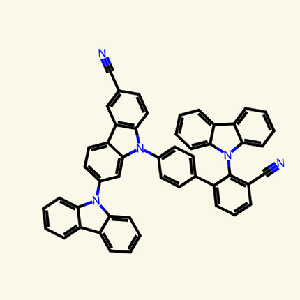 N#Cc1ccc2c(c1)c1ccc(-n3c4ccccc4c4ccccc43)cc1n2-c1ccc(-c2cccc(C#N)c2-n2c3ccccc3c3ccccc32)cc1